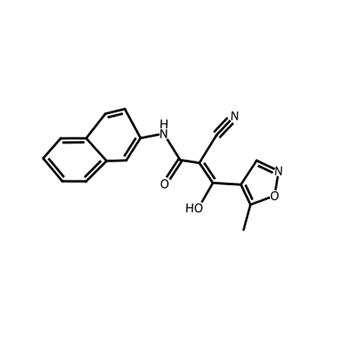 Cc1oncc1/C(O)=C(\C#N)C(=O)Nc1ccc2ccccc2c1